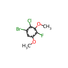 COc1cc(Br)c(Cl)c(OC)c1F